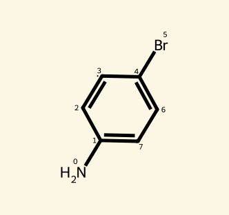 Nc1c[c]c(Br)cc1